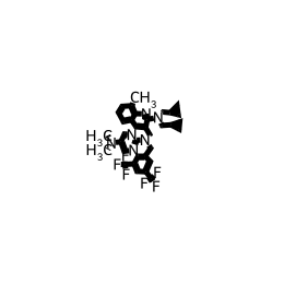 Cc1cccc2cc(CN(Cc3cc(C(F)(F)F)cc(C(F)(F)F)c3)c3ncc(N(C)C)cn3)c(N(CC3CC3)CC3CC3)nc12